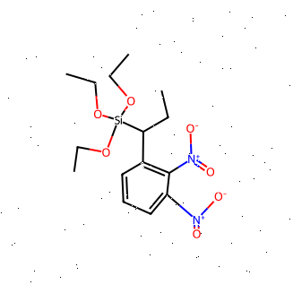 CCO[Si](OCC)(OCC)C(CC)c1cccc([N+](=O)[O-])c1[N+](=O)[O-]